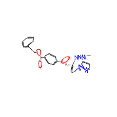 [N-]=[N+]=N[C@@H](COc1ccc(C(=O)OCc2ccccc2)cc1)Cn1cccn1